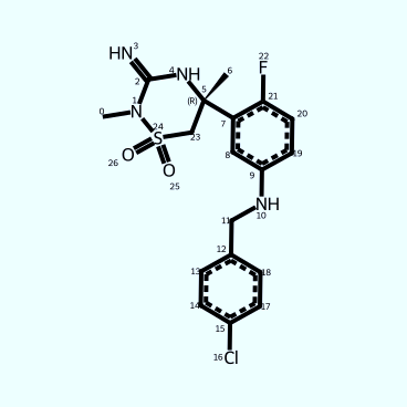 CN1C(=N)N[C@](C)(c2cc(NCc3ccc(Cl)cc3)ccc2F)CS1(=O)=O